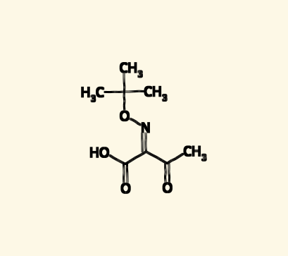 CC(=O)C(=NOC(C)(C)C)C(=O)O